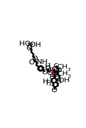 CC1(C)O[C@@H]2C[C@H]3[C@@H]4C[C@H](F)C5=CC(=O)C=C[C@]5(C)[C@H]4[C@@H](O)C[C@]3(C)[C@]2(C(=O)COC(=O)Oc2ccc(CC(N)C(=O)OCCCCON(O)O)cc2)O1